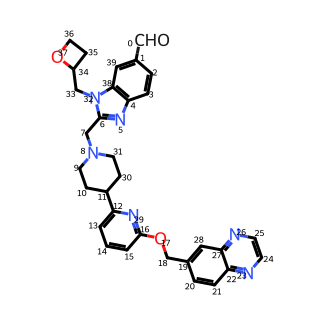 O=Cc1ccc2nc(CN3CCC(c4cccc(OCc5ccc6nccnc6c5)n4)CC3)n(CC3CCO3)c2c1